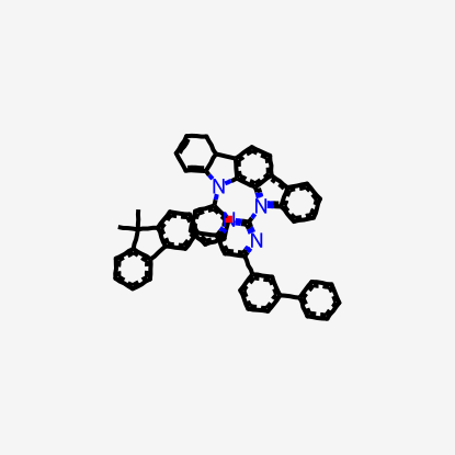 CC1(C)c2ccccc2-c2cc(-c3cc(-c4cccc(-c5ccccc5)c4)nc(-n4c5ccccc5c5ccc6c(c54)N(c4ccccc4)C4=CC=CCC46)n3)ccc21